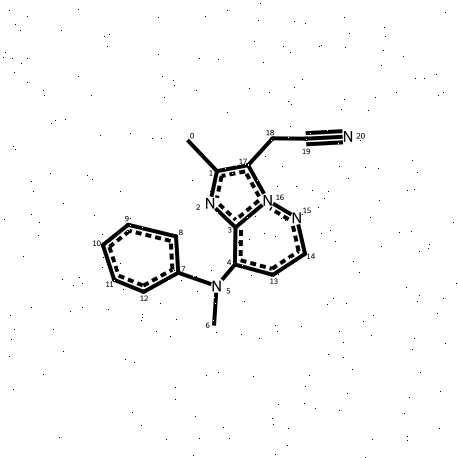 Cc1nc2c(N(C)c3ccccc3)ccnn2c1CC#N